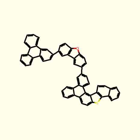 c1ccc2c(c1)ccc1c2sc2ccc3c4ccccc4c4cc(-c5ccc6oc7ccc(-c8ccc9c%10ccccc%10c%10ccccc%10c9c8)cc7c6c5)ccc4c3c21